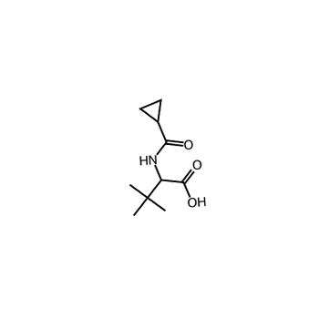 CC(C)(C)C(NC(=O)C1CC1)C(=O)O